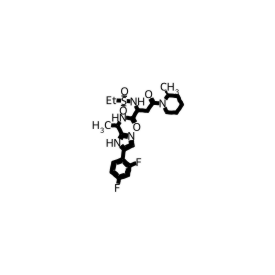 CCS(=O)(=O)NC(CC(=O)N1CCCC[C@@H]1C)C(=O)NC(C)c1ncc(-c2ccc(F)cc2F)[nH]1